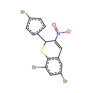 O=[N+]([O-])C1=Cc2cc(Br)cc(Br)c2SC1c1ccc(Br)cc1